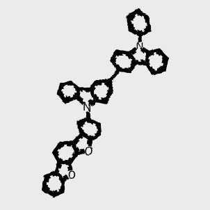 c1ccc(-n2c3ccccc3c3cc(-c4ccc5c(c4)c4ccccc4n5-c4ccc5oc6c(ccc7c8ccccc8oc76)c5c4)ccc32)cc1